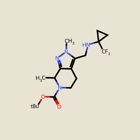 CC1c2nn(C)c(CNC3(C(F)(F)F)CC3)c2CCN1C(=O)OC(C)(C)C